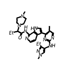 CCc1nn(C)cc1Nc1ncc(C)c(-c2c[nH]c3c(NC(=O)C(CC)N4CCN(C)CC4)nccc23)n1